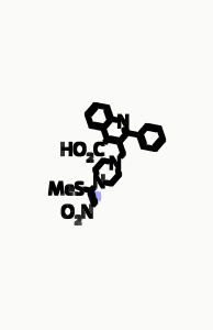 CS/C(=C\[N+](=O)[O-])N1CCN(Cc2c(-c3ccccc3)nc3ccccc3c2C(=O)O)CC1